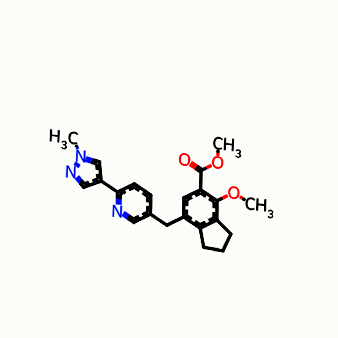 COC(=O)c1cc(Cc2ccc(-c3cnn(C)c3)nc2)c2c(c1OC)CCC2